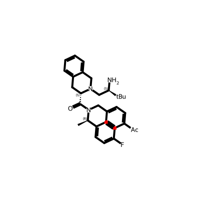 CC(=O)c1ccc(CN(C(=O)[C@@H]2Cc3ccccc3CN2C[C@@H](N)C(C)(C)C)[C@H](C)c2ccc(F)cc2)cc1